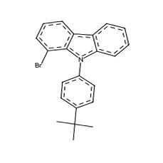 CC(C)(C)c1ccc(-n2c3ccccc3c3cccc(Br)c32)cc1